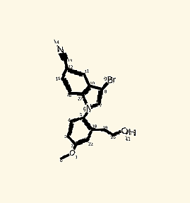 COc1ccc(-n2cc(Br)c3cc(C#N)ccc32)c(CCO)c1